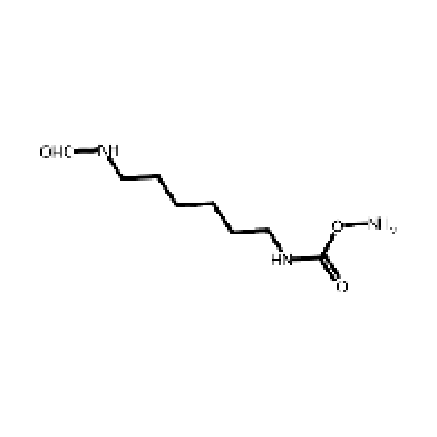 NOC(=O)NCCCCCCNC=O